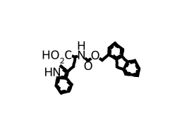 O=C(NC(Cc1c[nH]c2ccccc12)C(=O)O)OCc1cccc2c1Cc1ccccc1-2